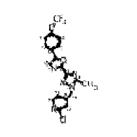 Cc1nc(-c2nnc(-c3ccc(OC(F)(F)F)cc3)o2)nn1Cc1ccnc(Cl)c1